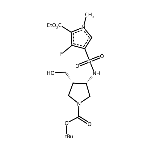 CCOC(=O)c1c(F)c(S(=O)(=O)N[C@@H]2CN(C(=O)OC(C)(C)C)C[C@@H]2CO)cn1C